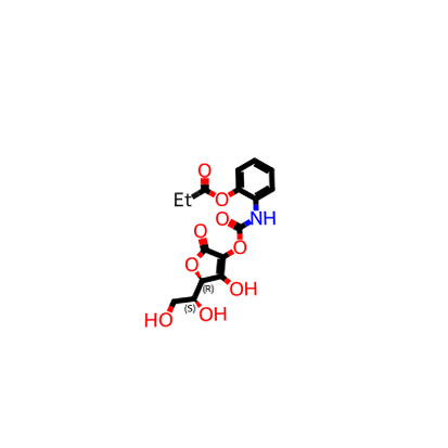 CCC(=O)Oc1ccccc1NC(=O)OC1=C(O)[C@@H]([C@@H](O)CO)OC1=O